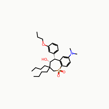 CCCCC1(CCCC)CS(=O)(=O)c2ccc(N(C)C)cc2[C@@H](c2cccc(OCCC)c2)[C@H]1O